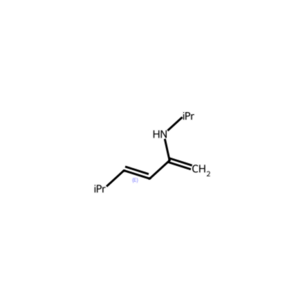 C=C(/C=C/C(C)C)NC(C)C